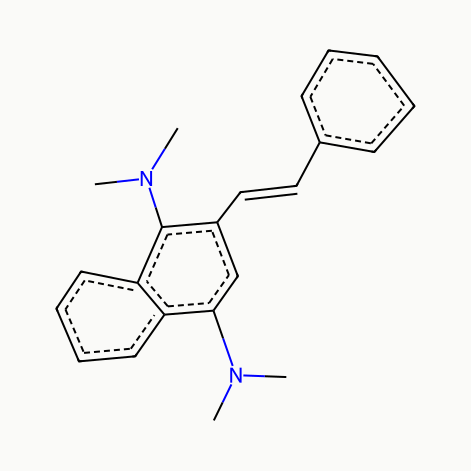 CN(C)c1cc(C=Cc2ccccc2)c(N(C)C)c2ccccc12